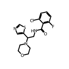 O=C(NCC(c1cncs1)N1CCOCC1)c1c(F)cccc1Cl